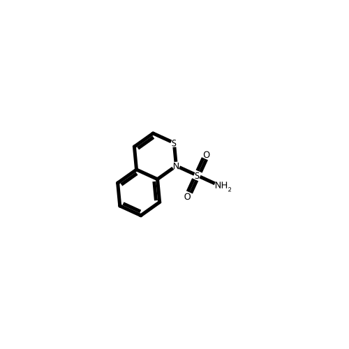 NS(=O)(=O)N1SC=Cc2ccccc21